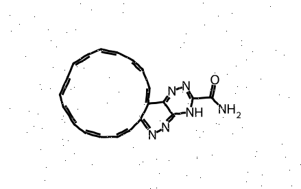 NC(=O)c1nnc2c(nnc3cccccccccccccccc32)[nH]1